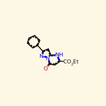 CCOC(=O)c1cc(=O)n2nc(-c3ccccc3)cc2[nH]1